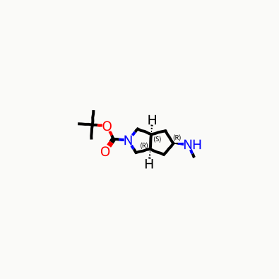 CN[C@@H]1C[C@@H]2CN(C(=O)OC(C)(C)C)C[C@@H]2C1